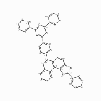 C1=CCNC(c2cc(-c3ccc(-c4nc5ccccc5c5c4ccc4oc(-c6ccccc6)nc45)cc3)cc(-c3ccccn3)n2)=C1